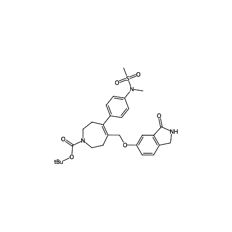 CN(c1ccc(C2=C(COc3ccc4c(c3)C(=O)NC4)CCN(C(=O)OC(C)(C)C)CC2)cc1)S(C)(=O)=O